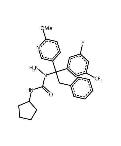 COc1ccc(C(Cc2ccccc2)(c2cc(F)cc(C(F)(F)F)c2)N(N)C(=O)NC2CCCC2)cn1